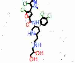 Cn1ncc(Cl)c1-c1cc(C(=O)N[C@@H]2CNC(CCNCC(O)CO)C[C@H]2c2ccc(Cl)c(Cl)c2)oc1Cl